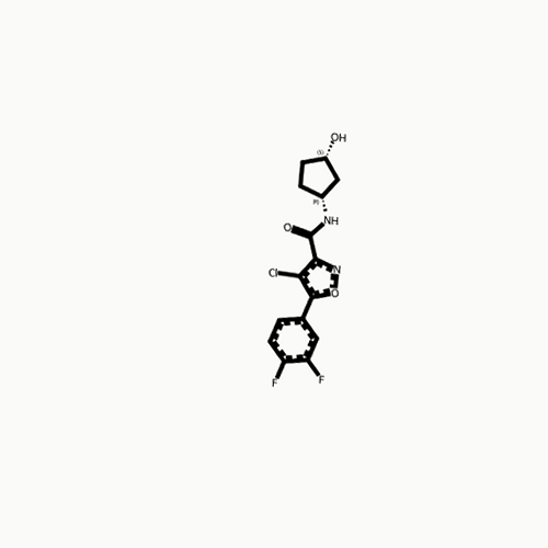 O=C(N[C@@H]1CC[C@H](O)C1)c1noc(-c2ccc(F)c(F)c2)c1Cl